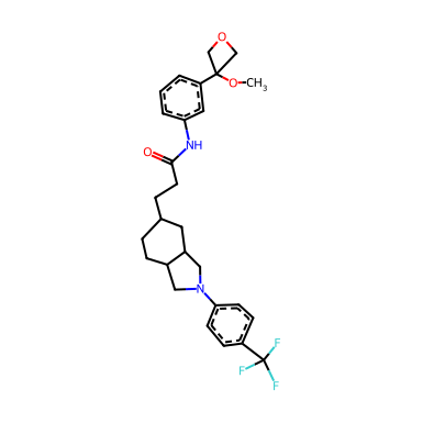 COC1(c2cccc(NC(=O)CCC3CCC4CN(c5ccc(C(F)(F)F)cc5)CC4C3)c2)COC1